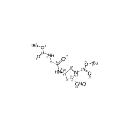 CC(C)(C)OC(=O)NCC(=O)N[C@@H]1C[C@@H](C=O)N(C(=O)OC(C)(C)C)C1